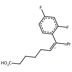 CCC/C(=C/CCCCC(=O)O)c1ccc(F)cc1F